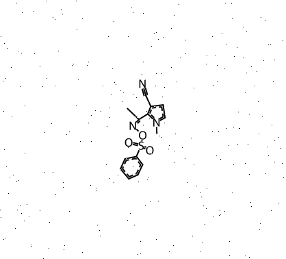 CC(=NOS(=O)(=O)c1ccccc1)c1c(C#N)ccn1C